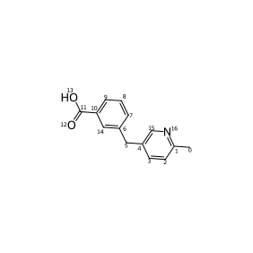 Cc1ccc(Cc2cccc(C(=O)O)c2)cn1